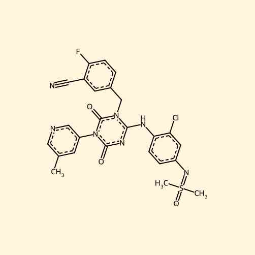 Cc1cncc(-n2c(=O)nc(Nc3ccc(N=S(C)(C)=O)cc3Cl)n(Cc3ccc(F)c(C#N)c3)c2=O)c1